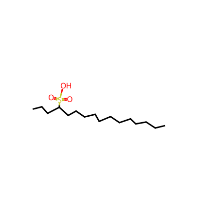 CCCCCCCCCCCCC(CCC)S(=O)(=O)O